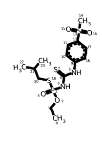 CCOP(=O)(NC(=S)Nc1ccc(S(C)(=O)=O)cc1)SCC(C)C